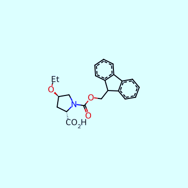 CCO[C@@H]1C[C@@H](C(=O)O)N(C(=O)OCC2c3ccccc3-c3ccccc32)C1